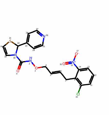 O=C(NOCC=CCc1c(Cl)cccc1[N+](=O)[O-])N1[C]=CSC1c1ccncc1